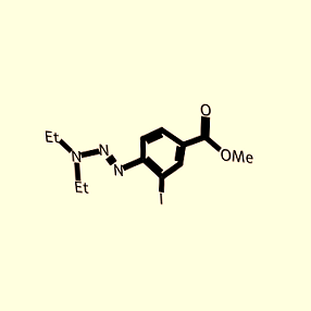 CCN(CC)/N=N/c1ccc(C(=O)OC)cc1I